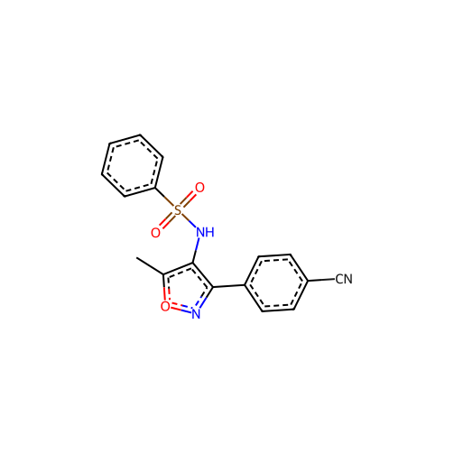 Cc1onc(-c2ccc(C#N)cc2)c1NS(=O)(=O)c1ccccc1